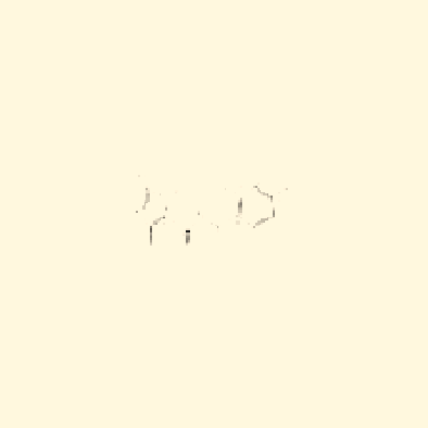 Nc1nc(Cl)c(C(=O)NCc2ccc(F)cc2F)s1